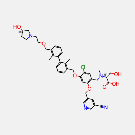 Cc1c(COCCN2CC[C@@H](O)C2)cccc1-c1cccc(COc2cc(OCc3cncc(C#N)c3)c(CN(C)[C@@H](CO)C(=O)O)cc2Cl)c1C